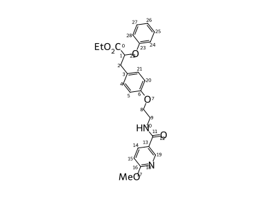 CCOC(=O)C(Cc1ccc(OCCNC(=O)c2ccc(OC)nc2)cc1)Oc1ccccc1